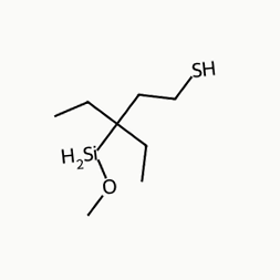 CCC(CC)(CCS)[SiH2]OC